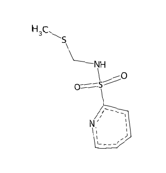 CSCNS(=O)(=O)c1ccccn1